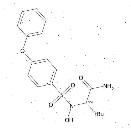 CC(C)(C)[C@@H](C(N)=O)N(O)S(=O)(=O)c1ccc(Oc2ccccc2)cc1